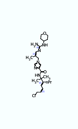 CCC/C(=C\C=C/CCl)C(C)(C)NC(=O)c1cn(C/C(C)=C\N=C(/N)NC2CCOCC2)cn1